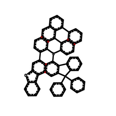 c1ccc(-c2cccc3cccc(-c4ccccc4N(c4ccccc4-c4ccc5c(c4)oc4ccccc45)c4cccc5c4-c4ccccc4C5(c4ccccc4)c4ccccc4)c23)cc1